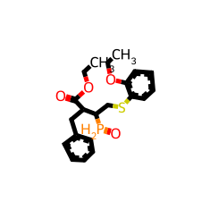 CCOC(=O)C(Cc1ccccc1)C(CSc1ccccc1OCC)[PH2]=O